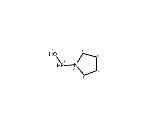 OPN1CCCC1